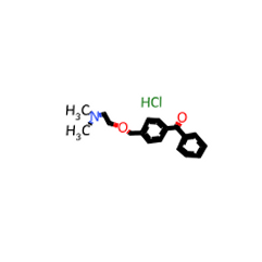 CN(C)CCOCc1ccc(C(=O)c2ccccc2)cc1.Cl